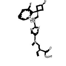 C=C/C(=C\N(C)c1cnc(NC[C@]2(c3ncccc3F)C[C@H](F)C2)nc1)C(=O)NC